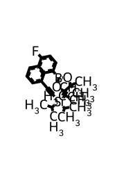 CC(C)[Si](C#Cc1cccc2c(F)ccc(B3OC(C)(C)C(C)(C)O3)c12)(C(C)C)C(C)C